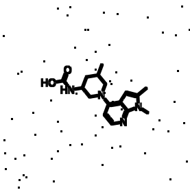 Cc1cc2c(N3CC(C)CC(NC(=O)O)C3)ccnc2n1C